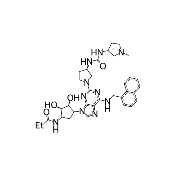 CCC(=O)NC1CC(n2cnc3c(NCc4cccc5ccccc45)nc(N4CC[C@@H](NC(=O)NC5CCN(C)C5)C4)nc32)[C@H](O)[C@@H]1O